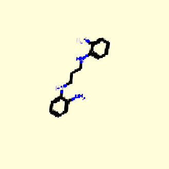 Nc1ccccc1NCCCNc1ccccc1N